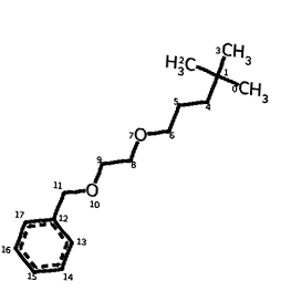 CC(C)(C)CCCOCCOCc1ccccc1